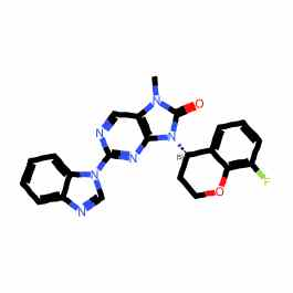 Cn1c(=O)n([C@H]2CCOc3c(F)cccc32)c2nc(-n3cnc4ccccc43)ncc21